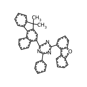 CC1(C)c2ccccc2-c2c1cc(-c1nc(-c3ccccc3)nc(-c3cccc4oc5ccccc5c34)n1)c1ccccc21